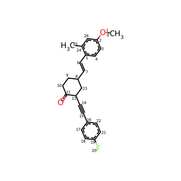 COc1ccc(/C=C/C2CCC(=O)C(C#Cc3ccc(F)cc3)C2)c(C)c1